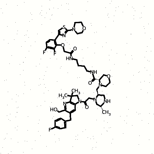 C[C@@H]1CN(CC(=O)N2CC(C)(C)c3nc(CO)c(Cc4ccc(F)cc4)cc32)[C@@H](CN2CCOC[C@H]2C(=O)NCCCCNC(=O)COc2c(-c3csc(N4CCOCC4)n3)ccc(F)c2F)CN1